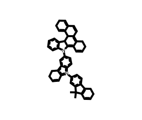 CC1(C)C2=C(CCC=C2)c2ccc(-n3c4c(c5cc(N6C7=C8C=CCCC8=C8C=CC9=CCCC=C9C8C7c7ccccc76)ccc53)CCC=C4)cc21